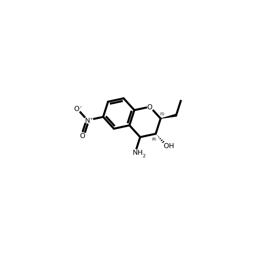 CC[C@@H]1Oc2ccc([N+](=O)[O-])cc2C(N)[C@H]1O